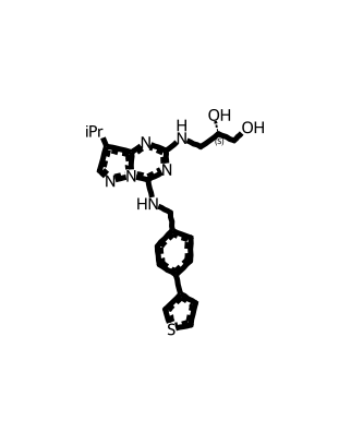 CC(C)c1cnn2c(NCc3ccc(-c4ccsc4)cc3)nc(NC[C@H](O)CO)nc12